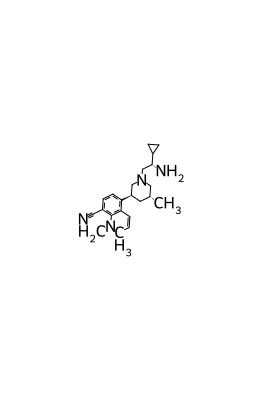 C=Nc1c(C#N)ccc([C@@H]2C[C@@H](C)CN(C[C@@H](N)C3CC3)C2)c1/C=C\C